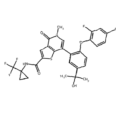 Cn1cc(-c2cc(C(C)(C)O)ccc2Oc2ccc(F)cc2F)c2sc(C(=O)NC3(C(F)(F)F)CC3)cc2c1=O